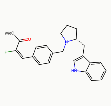 COC(=O)/C(F)=C\c1ccc(CN2CCC[C@@H]2Cc2c[nH]c3ccccc23)cc1